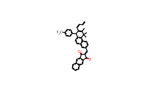 C=C/C=C\C1=C(C)C(C)(C)c2c(ccc3cc(C=C4C(=O)c5cc6ccccc6cc5C4=O)ccc23)C1c1ccc(C(F)(F)F)cc1